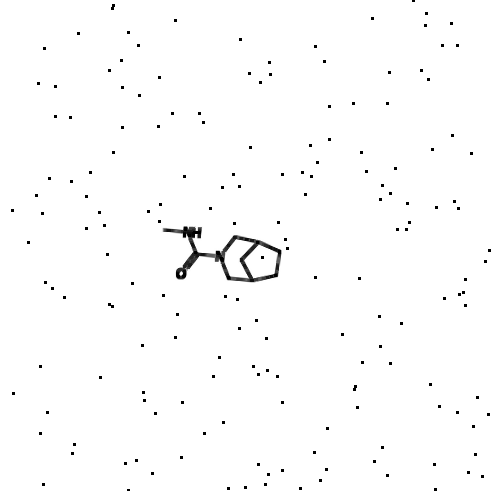 CNC(=O)N1CC2CCC(C2)C1